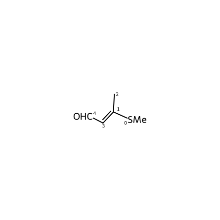 CSC(C)=CC=O